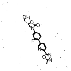 Cc1nnc(-c2ccc(-c3ccc(N4C[C@H](CO)OC4=O)cc3F)cn2)o1